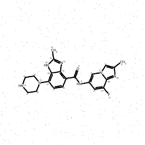 Cc1cn2cc(NC(=O)c3ccc(N4CCNCC4)c4[nH]c(C)nc34)cc(F)c2n1